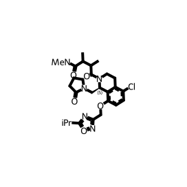 CNC(=O)C(C)C(C)C(=O)N1CCc2c(Cl)ccc(OCc3noc(C(C)C)n3)c2[C@H]1CN1CCCC1=O